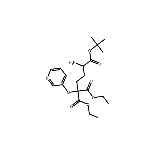 CCOC(=O)C(CCC(N)C(=O)OC(C)(C)C)(Oc1cccnc1)C(=O)OCC